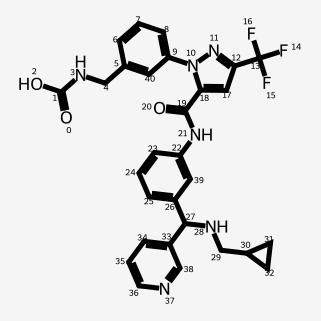 O=C(O)NCc1cccc(-n2nc(C(F)(F)F)cc2C(=O)Nc2cccc(C(NCC3CC3)c3cccnc3)c2)c1